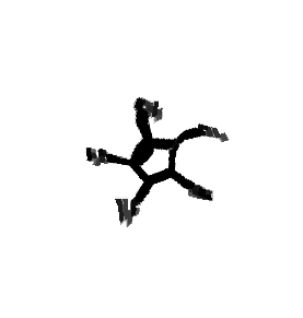 Cc1c(C)[c]([Ru])n(C)c1C